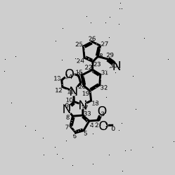 COC(=O)c1cccc2nc(N3CCOCC3)n(Cc3ccc(-c4ccccc4C#N)cc3)c12